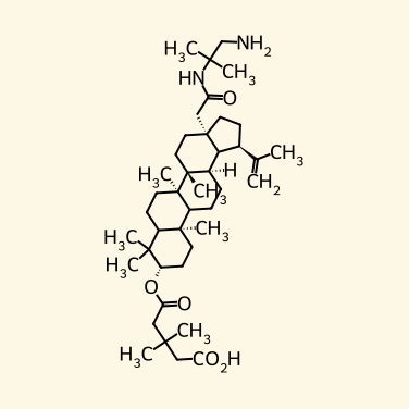 C=C(C)[C@@H]1CC[C@]2(CC(=O)NC(C)(C)CN)CC[C@]3(C)[C@H](CCC4[C@@]5(C)CC[C@H](OC(=O)CC(C)(C)CC(=O)O)C(C)(C)C5CC[C@]43C)C12